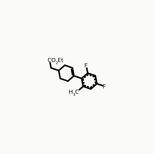 CCOC(=O)CC1CC=C(c2c(C)cc(F)cc2F)CC1